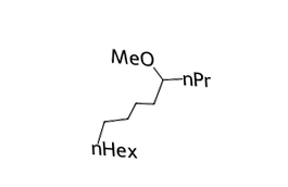 [CH2]CCC(CCCCCCCCCC)OC